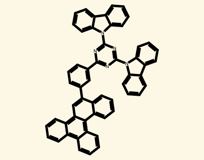 c1cc(-c2nc(-n3c4ccccc4c4ccccc43)nc(-n3c4ccccc4c4ccccc43)n2)cc(-c2cc3c4ccccc4c4ccccc4c3c3ccccc23)c1